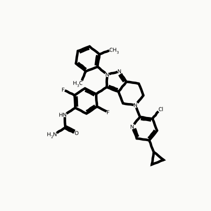 Cc1cccc(C)c1-n1nc2c(c1-c1cc(F)c(NC(N)=O)cc1F)CN(c1ncc(C3CC3)cc1Cl)CC2